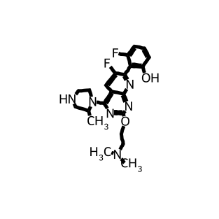 CC1CNCCN1c1nc(OCCN(C)C)nc2nc(-c3c(O)cccc3F)c(F)cc12